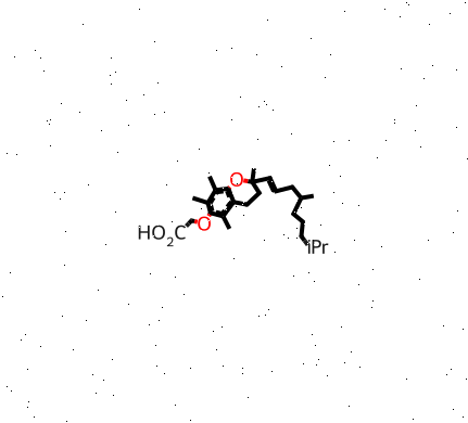 Cc1c(C)c2c(c(C)c1OCC(=O)O)CCC(C)(C=CCC(C)CCCC(C)C)O2